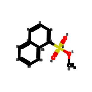 COS(=O)(=O)c1cc[c]c2ccccc12